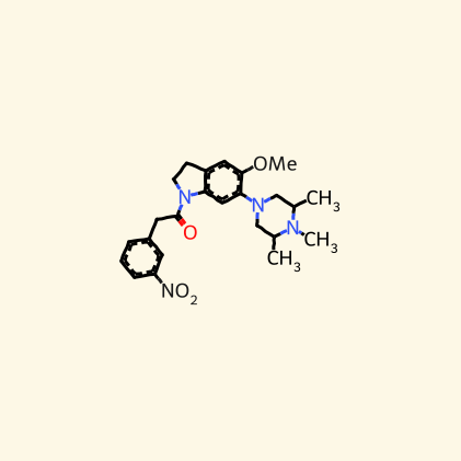 COc1cc2c(cc1N1CC(C)N(C)C(C)C1)N(C(=O)Cc1cccc([N+](=O)[O-])c1)CC2